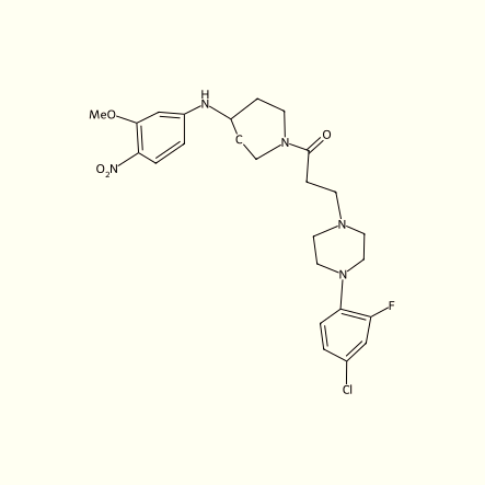 COc1cc(NC2CCN(C(=O)CCN3CCN(c4ccc(Cl)cc4F)CC3)CC2)ccc1[N+](=O)[O-]